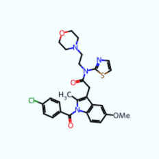 COc1ccc2c(c1)c(CC(=O)N(CCN1CCOCC1)c1nccs1)c(C)n2C(=O)c1ccc(Cl)cc1